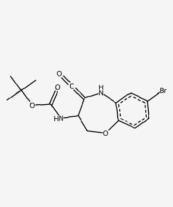 CC(C)(C)OC(=O)NC1COc2ccc(Br)cc2NC1=C=O